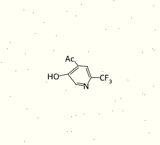 CC(=O)c1cc(C(F)(F)F)ncc1O